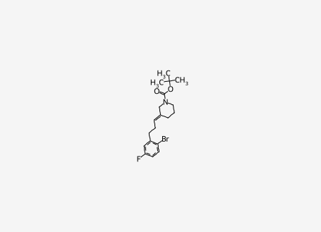 CC(C)(C)OC(=O)N1CCC/C(=C\CCc2cc(F)ccc2Br)C1